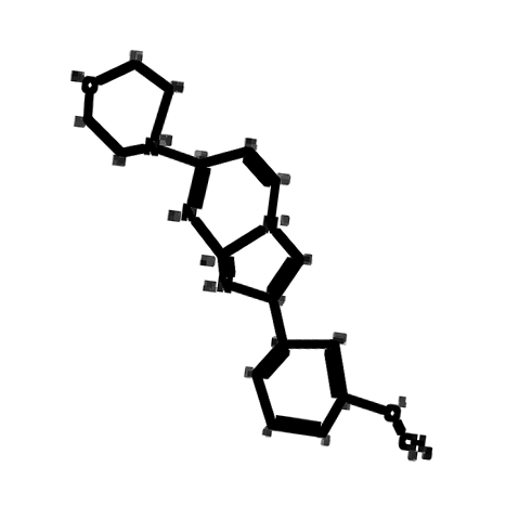 COc1cccc(-c2cn3ccc(N4CCOCC4)nc3n2)c1